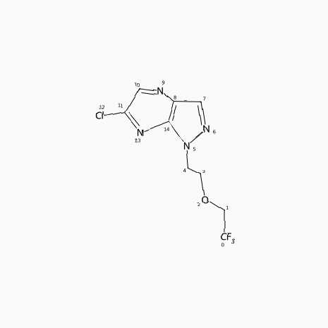 FC(F)(F)COCCn1ncc2ncc(Cl)nc21